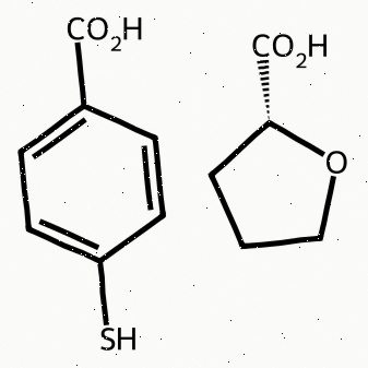 O=C(O)[C@H]1CCCO1.O=C(O)c1ccc(S)cc1